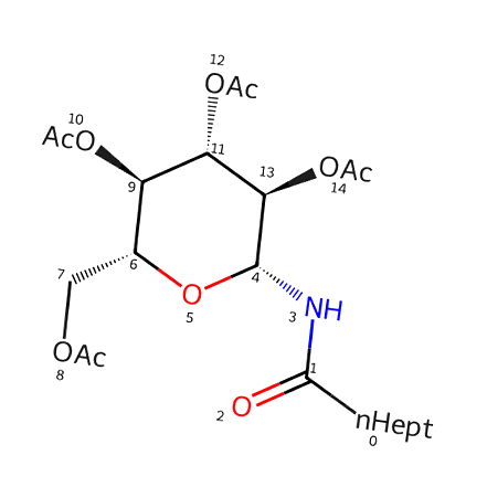 CCCCCCCC(=O)N[C@@H]1O[C@H](COC(C)=O)[C@@H](OC(C)=O)[C@H](OC(C)=O)[C@H]1OC(C)=O